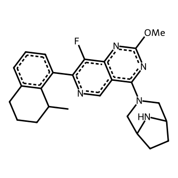 COc1nc(N2CC3CCC(C2)N3)c2cnc(-c3cccc4c3C(C)CCC4)c(F)c2n1